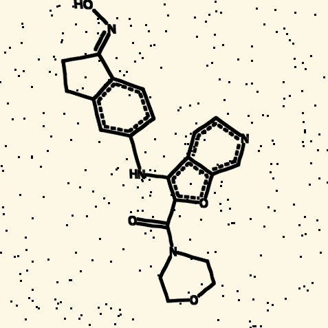 O=C(c1oc2cnccc2c1Nc1ccc2c(c1)CCC2=NO)N1CCOCC1